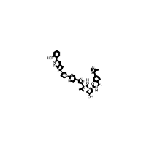 Cc1ncsc1-c1ccc([C@H](C)NC(=O)[C@@H]2C[C@@H](O)CN2C(O)[C@@H](c2cc(-c3cnc(N4CC[C@@H](c5cc6cc(-c7ccccc7O)nnc6s5)C4)nc3)no2)C(C)C)cc1